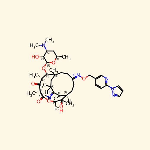 CC[C@H]1OC(=O)[C@H](C)C(=O)[C@H](C)[C@@H](O[C@@H]2O[C@H](C)C[C@H](N(C)C)[C@H]2O)[C@]2(C)CC/C(=N/OCc3ccc(-n4cccn4)nc3)CC[C@H]([C@@H](C)/C(=N/C(C)=O)[C@H](C)C2)[C@]1(C)O